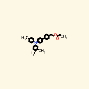 C=CC(=O)OCCc1ccc(-c2ccc(N(c3ccc(C)cc3)c3ccc(C)c(C)c3)cc2)cc1